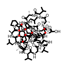 CC(=O)N[C@@H](C)C(=O)N[C@@H](C)C(=O)N[C@H](C(=O)N[C@@H](C)C(=O)N[C@@H](CC(C)C)C(=O)N[C@@H](CC(C)C)C(=O)N1CCC[C@H]1C(=O)N[C@@H](C)C(=O)N[C@H](C(=O)N[C@@H](CC(C)C)C(=O)N[C@@H](CC(C)C)C(=O)N[C@@H](C)C(=O)N[C@@H](CC(C)C)C(=O)N[C@@H](CC(C)C)C(=O)N[C@@H](C)C(=O)N1CCC[C@H]1C(=O)N[C@@H](CC(C)C)C(=O)N[C@@H](CCC(=O)O)C(=O)N[C@@H](Cc1c[nH]cn1)C(=O)N[C@H](C=O)CC(=O)O)C(C)C)C(C)C